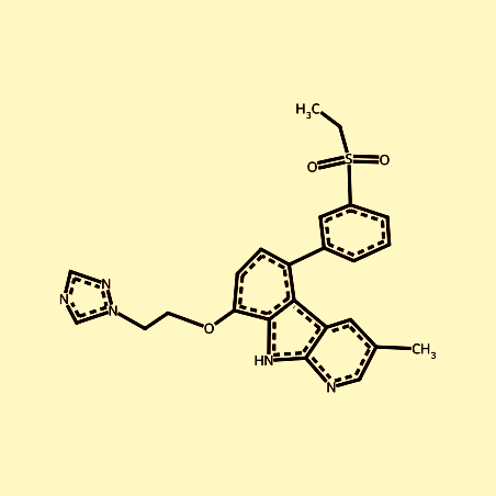 CCS(=O)(=O)c1cccc(-c2ccc(OCCn3cncn3)c3[nH]c4ncc(C)cc4c23)c1